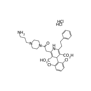 Cl.Cl.NCCCN1CCN(C(=O)CC2=C(C(=O)O)C(c3c(Cl)cccc3Cl)C(C(=O)O)=C(CCc3ccccc3)N2)CC1